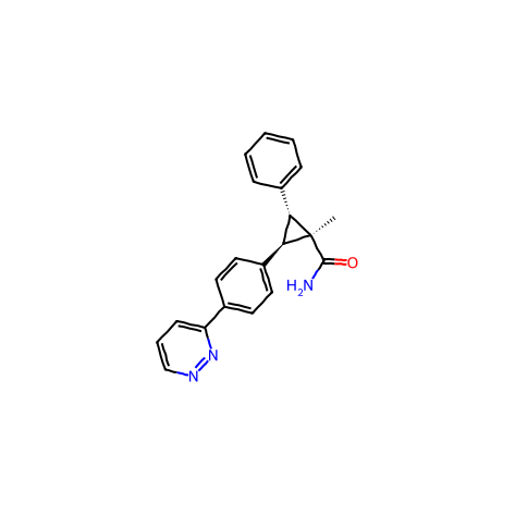 C[C@@]1(C(N)=O)[C@@H](c2ccccc2)[C@@H]1c1ccc(-c2cccnn2)cc1